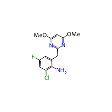 COc1cc(OC)nc(Cc2cc(F)cc(Cl)c2N)n1